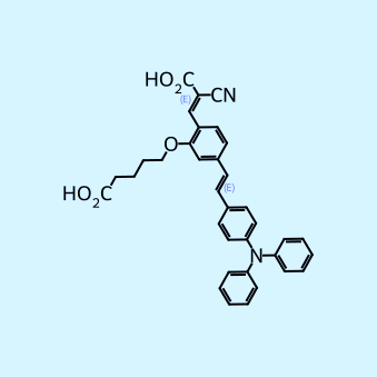 N#C/C(=C\c1ccc(/C=C/c2ccc(N(c3ccccc3)c3ccccc3)cc2)cc1OCCCCC(=O)O)C(=O)O